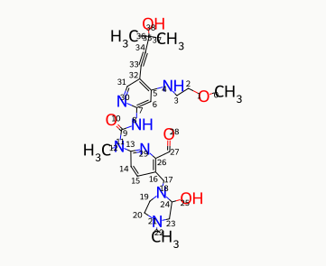 COCCNc1cc(NC(=O)N(C)c2ccc(CN3CCN(C)CC3O)c(C=O)n2)ncc1C#CC(C)(C)O